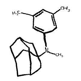 Cc1cc(C)cc(N(C)C23CC4CC(CC(C4)C2)C3)c1